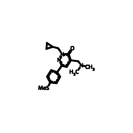 CSc1ccc(-c2cc(CN(C)C)c(=O)n(CC3CC3)n2)cc1